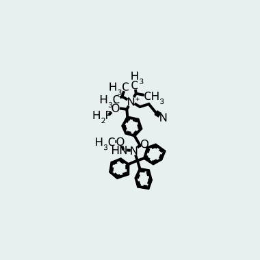 CONN(C(=O)c1ccc(C(OP)[N+](CCC#N)(C(C)C)C(C)C)cc1)C(c1ccccc1)(c1ccccc1)c1ccccc1